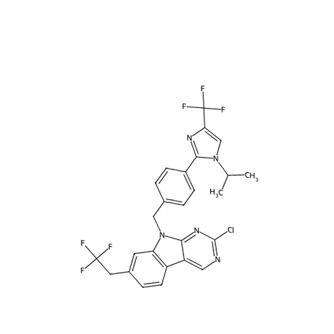 CC(C)n1cc(C(F)(F)F)nc1-c1ccc(Cn2c3cc(CC(F)(F)F)ccc3c3cnc(Cl)nc32)cc1